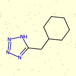 C1CCC(Cc2nnn[nH]2)CC1